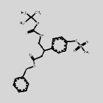 CC(C)(C)OC(=O)NCC(CC(=O)OCc1ccccc1)c1ccc(OS(C)(=O)=O)cc1